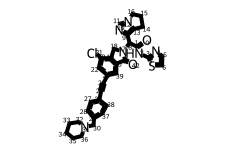 O=C(Nc1nccs1)C(c1ncn2c1CCC2)N1Cc2c(Cl)cc(C#Cc3ccc(CN4CCCCC4)cc3)cc2C1=O